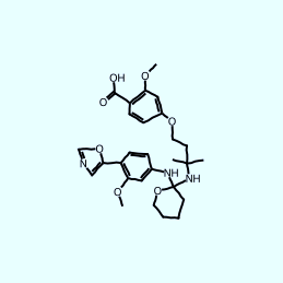 COc1cc(OCCC(C)(C)NC2(Nc3ccc(-c4cnco4)c(OC)c3)CCCCO2)ccc1C(=O)O